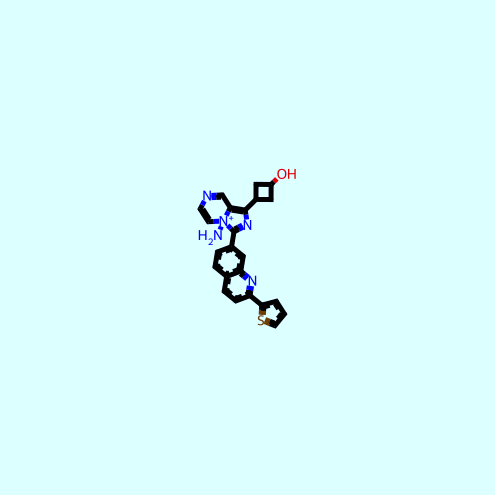 N[N+]12C=CN=CC1=C(C1CC(O)C1)N=C2c1ccc2ccc(-c3cccs3)nc2c1